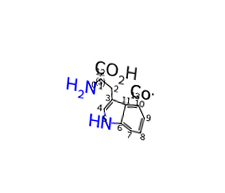 N[C@@H](Cc1c[nH]c2ccccc12)C(=O)O.[Co]